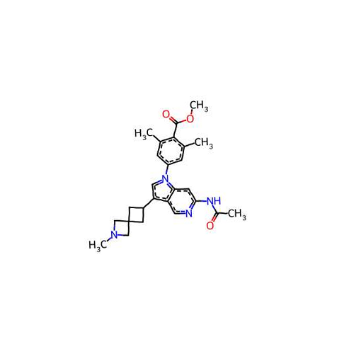 COC(=O)c1c(C)cc(-n2cc(C3CC4(C3)CN(C)C4)c3cnc(NC(C)=O)cc32)cc1C